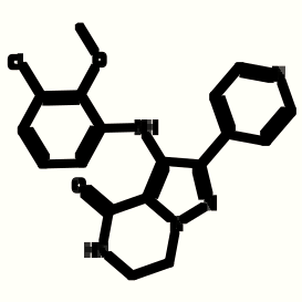 COc1c(Cl)cccc1Nc1c(-c2ccncc2)nn2c1C(=O)NCC2